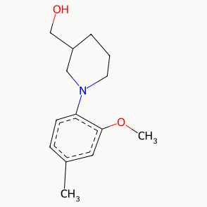 COc1cc(C)ccc1N1CCCC(CO)C1